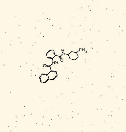 CC1CCCC(NC(=O)c2ncccc2NC(=O)c2cccc3ccccc23)C1